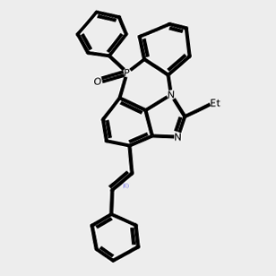 CCc1nc2c(/C=C/c3ccccc3)ccc3c2n1-c1ccccc1P3(=O)c1ccccc1